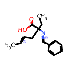 C/C=C/CC(CC)(/N=C/c1ccccc1)C(=O)O